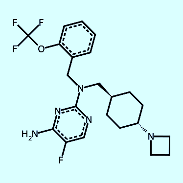 Nc1nc(N(Cc2ccccc2OC(F)(F)F)C[C@H]2CC[C@H](N3CCC3)CC2)ncc1F